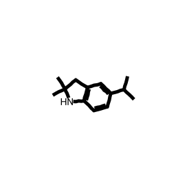 CC(C)c1ccc2c(c1)CC(C)(C)N2